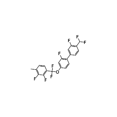 Cc1ccc(C(F)(F)Oc2ccc(-c3ccc(C(F)F)c(F)c3)c(F)c2)c(F)c1F